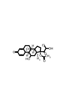 CC(=O)O[C@]1(C(=O)C(O)Cl)CC[C@H]2[C@@H]3CCC4=CC(=O)C=C[C@]4(C)[C@H]3C(O)C[C@@]21C